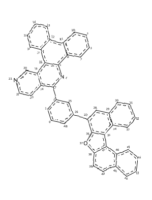 c1cc(-c2nc3c4ccccc4c4ccccc4c3c3cnccc23)cc(-c2cc3ccccc3c3c2oc2ccc4ccccc4c23)c1